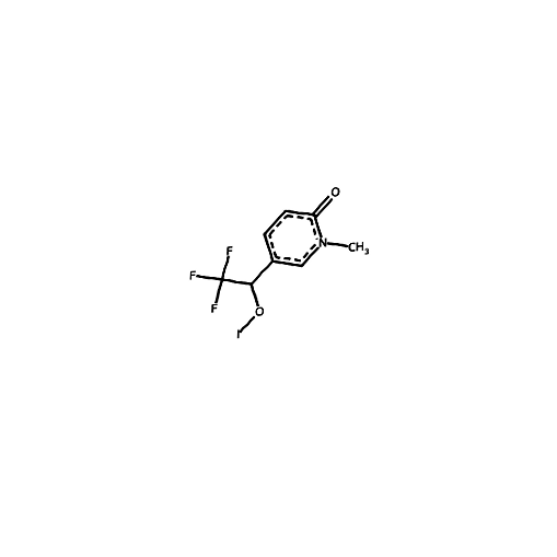 Cn1cc(C(OI)C(F)(F)F)ccc1=O